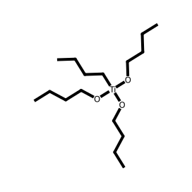 CCCC[O][Ti]([CH2]CCC)([O]CCCC)[O]CCCC